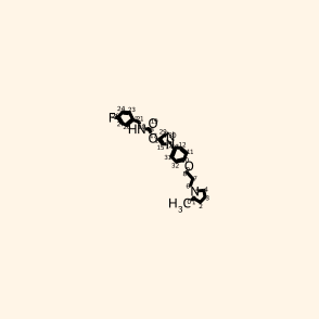 CC1CCCN1CCCOc1ccc(-n2cc(OC(=O)NCc3ccc(F)cc3)cn2)cc1